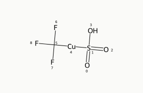 O=[S](=O)(O)[Cu][C](F)(F)F